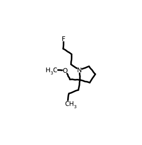 CCCC1(COC)CCCN1CCCF